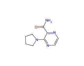 NC(=O)c1nccnc1N1CCCC1